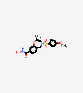 COc1ccc(S(=O)(=O)N2C=C(C)Oc3cc(C(=O)NO)ccc3C2)cc1